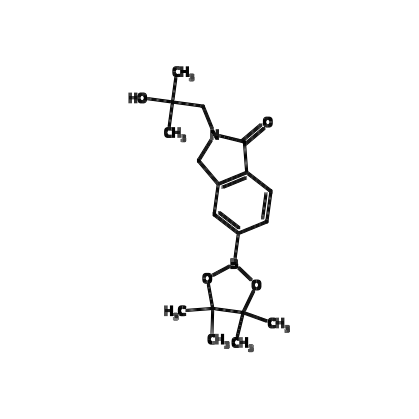 CC(C)(O)CN1Cc2cc(B3OC(C)(C)C(C)(C)O3)ccc2C1=O